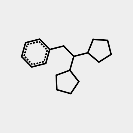 c1ccc(CC(C2CCCC2)C2CCCC2)cc1